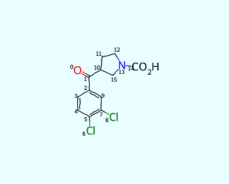 O=C(c1ccc(Cl)c(Cl)c1)C1CCN(C(=O)O)C1